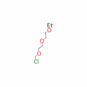 CCOCCOCCOCCl